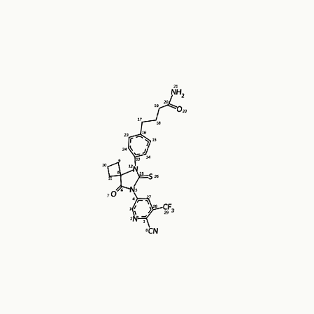 N#Cc1ncc(N2C(=O)C3(CCC3)N(c3ccc(CCCC(N)=O)cc3)C2=S)cc1C(F)(F)F